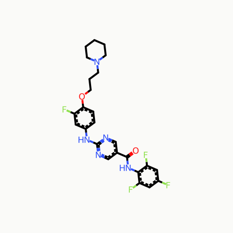 O=C(Nc1c(F)cc(F)cc1F)c1cnc(Nc2ccc(OCCCN3CCCCC3)c(F)c2)nc1